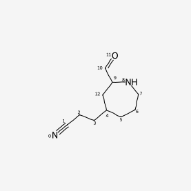 N#CCCC1CCCNC(C=O)C1